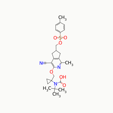 Cc1ccc(S(=O)(=O)OCC2Cc3c(C)nc(OCC4(N(C(=O)O)C(C)(C)C)CC4)c(C#N)c3C2)cc1